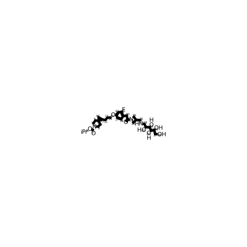 CC(C)OC(=O)N1CCC2(CC1)CC2CCCOc1ccc(CC(=O)N2CC(CNC[C@H](O)[C@@H](O)[C@H](O)[C@H](O)CO)C2)c(F)c1